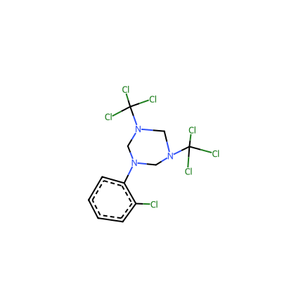 Clc1ccccc1N1CN(C(Cl)(Cl)Cl)CN(C(Cl)(Cl)Cl)C1